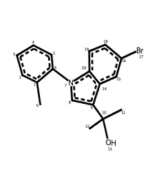 Cc1ccccc1-n1cc(C(C)(C)O)c2cc(Br)ccc21